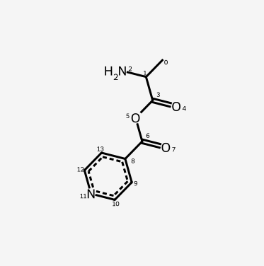 CC(N)C(=O)OC(=O)c1ccncc1